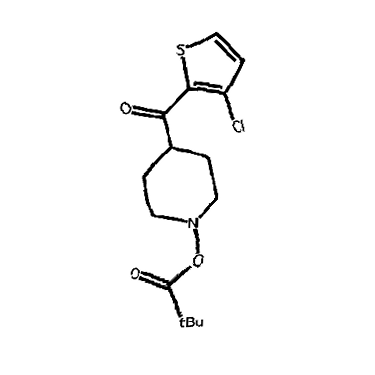 CC(C)(C)C(=O)ON1CCC(C(=O)c2sccc2Cl)CC1